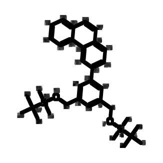 CC(C)(C)[Si](C)(C)OCc1cc(CO[Si](C)(C)C(C)(C)C)cc(-c2ccc3ccc4ccccc4c3c2)c1